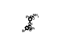 CC(C)C1(OC(N)=O)CCC(c2ncc(-c3ccc(Br)cc3S(=O)(=O)C(C)C)s2)CC1